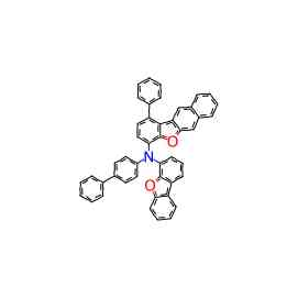 c1ccc(-c2ccc(N(c3cccc4c3oc3ccccc34)c3ccc(-c4ccccc4)c4c3oc3cc5ccccc5cc34)cc2)cc1